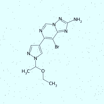 CCOC(C)n1cc(-c2ncn3nc(N)nc3c2Br)cn1